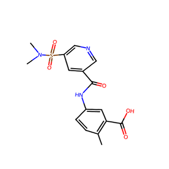 Cc1ccc(NC(=O)c2cncc(S(=O)(=O)N(C)C)c2)cc1C(=O)O